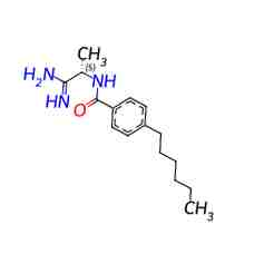 CCCCCCc1ccc(C(=O)N[C@@H](C)C(=N)N)cc1